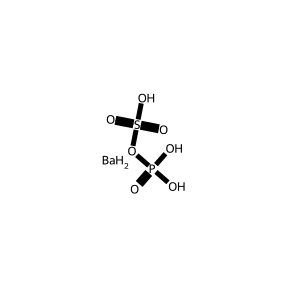 O=P(O)(O)OS(=O)(=O)O.[BaH2]